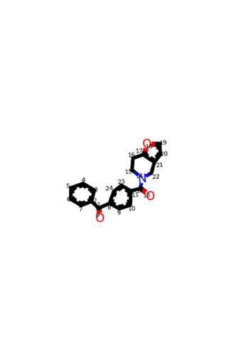 O=C(c1ccccc1)c1ccc(C(=O)N2CCc3occc3C2)cc1